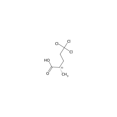 C[C@@H](CCC(Cl)(Cl)Cl)C(=O)O